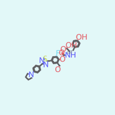 O=Cc1cc(-c2nc(-c3ccc(N4CCCC4)cc3)ns2)cc(F)c1OC(=O)N[C@@H](Cc1ccc(O)cc1)C(=O)O